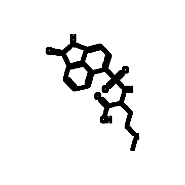 CSCCC(NS(=O)(=O)c1ccc2c3c(cccc13)C(=O)N2)C(=O)O